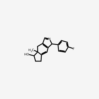 CC12CC3=C(C=C1CCC2O)C(c1ccc(F)cc1)N=C3